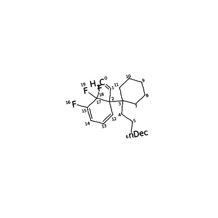 C=CC1(C2(CCCCCCCCCCCC)CCCCC2)C=CC=C(F)C1(F)F